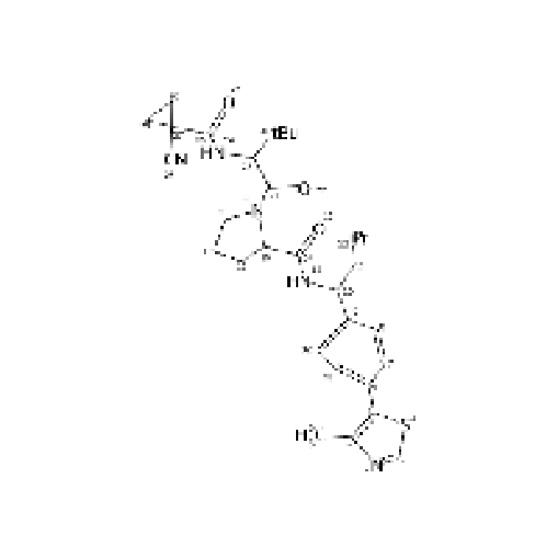 Cc1ncsc1-c1ccc(C(CC(C)C)NC(=O)C2CCCN2C(=O)C(NC(=O)C2(C#N)CC2)C(C)(C)C)cc1